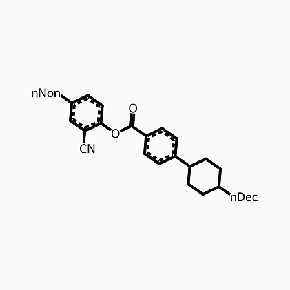 CCCCCCCCCCC1CCC(c2ccc(C(=O)Oc3ccc(CCCCCCCCC)cc3C#N)cc2)CC1